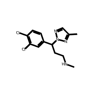 CNCCC(c1ccc(Cl)c(Cl)c1)n1ncc(C)n1